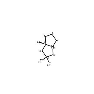 C[C@@]12CCCN1CC(F)(F)C2